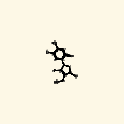 Nc1nc(=O)n(C2CC(O)C(CO)=C2F)cc1Cl